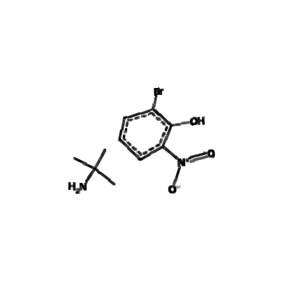 CC(C)(C)N.O=[N+]([O-])c1cccc(Br)c1O